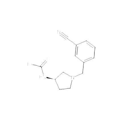 N#Cc1cccc(CN2CC[C@@H](NC(=O)O)C2)c1